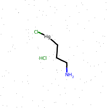 Cl.NCC[CH2][Hg][Cl]